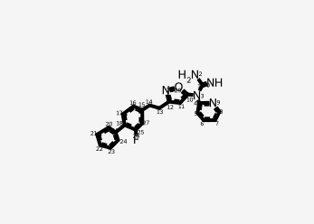 N=C(N)N(c1ccccn1)c1cc(CCc2ccc(-c3ccccc3)c(F)c2)no1